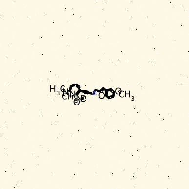 COc1ccc2oc(/C=C/C#CC3=C([N+](=O)[O-])N=C(N(C)C)CC=C3)cc2c1